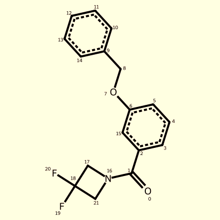 O=C(c1cccc(OCc2ccccc2)c1)N1CC(F)(F)C1